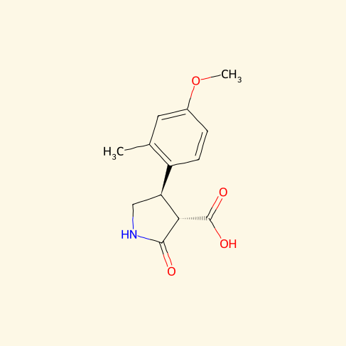 COc1ccc([C@@H]2CNC(=O)[C@H]2C(=O)O)c(C)c1